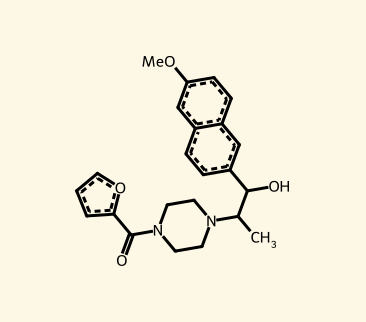 COc1ccc2cc(C(O)C(C)N3CCN(C(=O)c4ccco4)CC3)ccc2c1